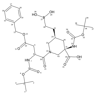 CC(C)(C)OC(=O)NC(CC(=O)OCc1ccccc1)C(=O)N1C[C@@H](CCB(O)O)C[C@](NC(=O)OC(C)(C)C)(C(=O)O)C1